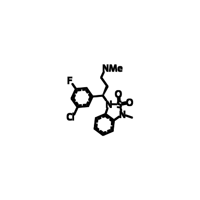 CNCC[C@H](c1cc(F)cc(Cl)c1)N1c2ccccc2N(C)S1(=O)=O